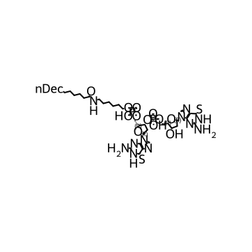 CCCCCCCCCCCCCCCC(=O)NCCCCCCOP(=O)(O)OC[C@H]1O[C@@H](n2cnc3c(=S)[nH]c(N)nc32)CC1OP(=O)(O)OC[C@H]1O[C@@H](n2cnc3c(=S)[nH]c(N)nc32)CC1O